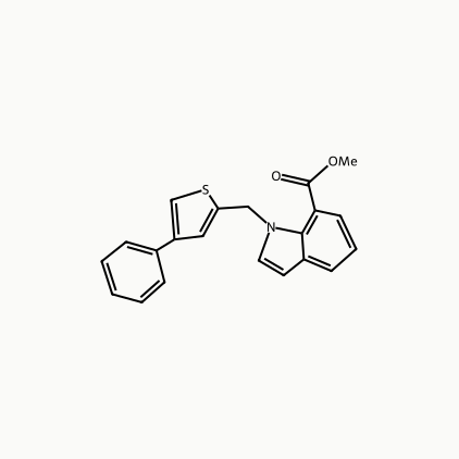 COC(=O)c1cccc2ccn(Cc3cc(-c4ccccc4)cs3)c12